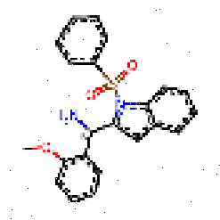 COc1ccccc1[C@@H](N)c1cc2ccccc2n1S(=O)(=O)c1ccccc1